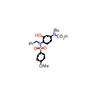 CC[C@H](C)N(C(=O)O)c1ccc(N(CC(C)C)S(=O)(=O)c2ccc(OC)cc2)c(O)c1